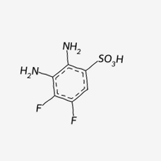 Nc1c(S(=O)(=O)O)cc(F)c(F)c1N